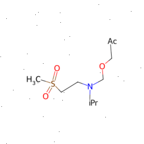 CC(=O)COCN(CCS(C)(=O)=O)C(C)C